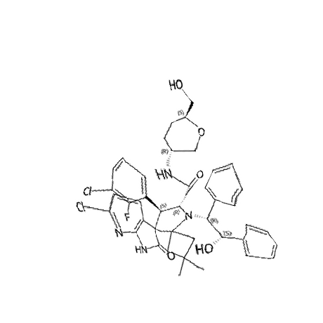 CC1(C)CC2(C1)N([C@H](c1ccccc1)[C@@H](O)c1ccccc1)[C@@H](C(=O)N[C@@H]1CC[C@@H](CO)OC1)[C@H](c1cccc(Cl)c1F)C21C(=O)Nc2nc(Cl)ccc21